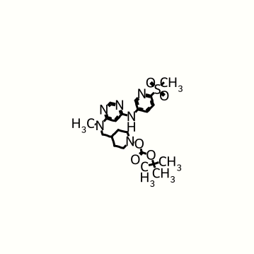 CN(CC1CCN(OC(=O)OC(C)(C)C)CC1)c1cc(Nc2ccc(S(C)(=O)=O)nc2)ncn1